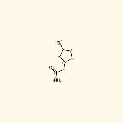 NC(=O)CN1CCC(Cl)C1